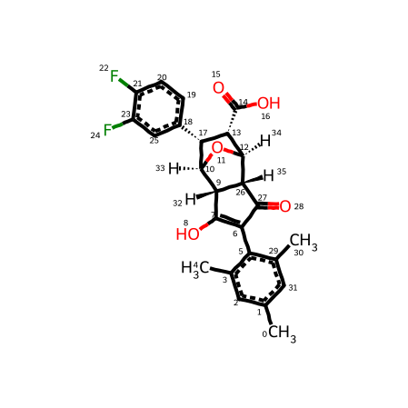 Cc1cc(C)c(C2=C(O)[C@@H]3[C@@H]4O[C@@H]([C@@H](C(=O)O)[C@H]4c4ccc(F)c(F)c4)[C@@H]3C2=O)c(C)c1